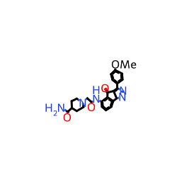 COc1ccc(C2=C3C(=O)c4c(NC(=O)CN5CCC(C(N)=O)CC5)cccc4C3N=N2)cc1